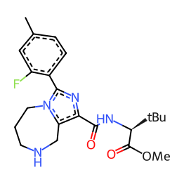 COC(=O)[C@@H](NC(=O)c1nc(-c2ccc(C)cc2F)n2c1CNCCC2)C(C)(C)C